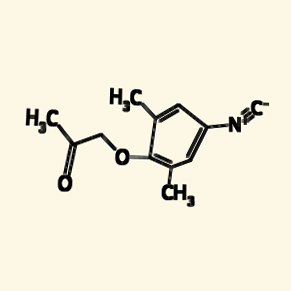 [C-]#[N+]c1cc(C)c(OCC(C)=O)c(C)c1